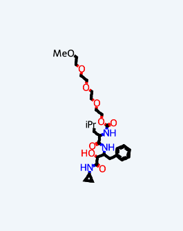 COCCOCCOCCOCCOC(=O)NC(CC(C)C)C(=O)NC(Cc1ccccc1)C(O)C(=O)NC1CC1